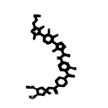 COCCn1nc(C)c(-c2ccc(-c3cnc(C(=O)Nc4ccc(C(=O)N5CCN(C(=O)C[N+]6(C)C[C@@H](N)[C@H](OC)C6)CC5)c(Cl)c4)n3C)c(F)c2F)c1C